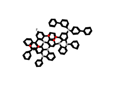 Fc1cc(-c2ccccc2)c(N2c3cc(N(c4ccccc4)c4ccccc4)cc4c3B(c3ccccc3N4c3ccccc3)c3cc4c(c(F)c32)Sc2cc(N(c3ccc(-c5ccccc5)cc3)c3cccc(-c5ccccc5)c3)cc3c2B4c2ccccc2N3c2ccccc2)c(-c2ccccc2)c1